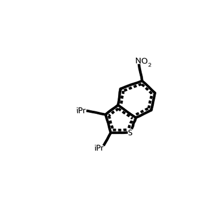 CC(C)c1sc2ccc([N+](=O)[O-])cc2c1C(C)C